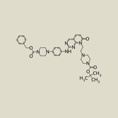 CC(C)(C)OC(=O)N1CCN(CCn2c(=O)ccc3cnc(Nc4ccc(N5CCN(C(=O)OCc6ccccc6)CC5)cc4)nc32)CC1